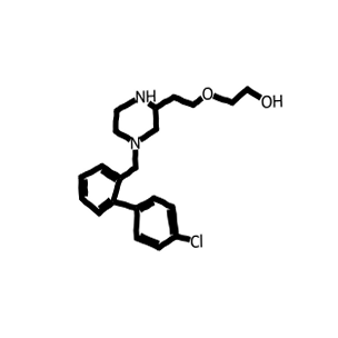 OCCOCCC1CN(Cc2ccccc2-c2ccc(Cl)cc2)CCN1